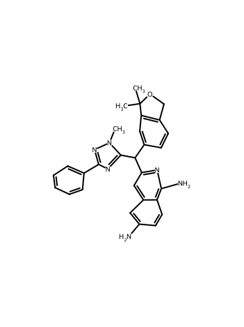 Cn1nc(-c2ccccc2)nc1C(c1ccc2c(c1)C(C)(C)OC2)c1cc2cc(N)ccc2c(N)n1